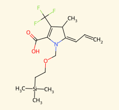 C=C/C=C1\C(C)C(C(F)(F)F)=C(C(=O)O)N1COCC[Si](C)(C)C